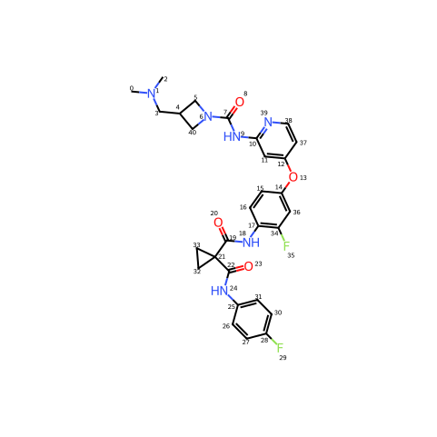 CN(C)CC1CN(C(=O)Nc2cc(Oc3ccc(NC(=O)C4(C(=O)Nc5ccc(F)cc5)CC4)c(F)c3)ccn2)C1